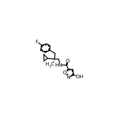 C[C@@](CNC(=O)c1cc(O)no1)(Cc1ccc(F)cc1)C1CC1